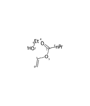 C=COC(=O)CCC.CCO